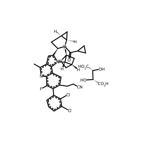 Cc1nc2c(F)c(-c3cccc(Cl)c3Cl)c(CCC#N)cc2c2c1cc([C@H]1C[C@H]3C[C@H]3N1C(=O)C1CC1)n2[C@H]1[C@H]2CN[C@@H]1C2.O=C(O)[C@H](O)[C@@H](O)C(=O)O